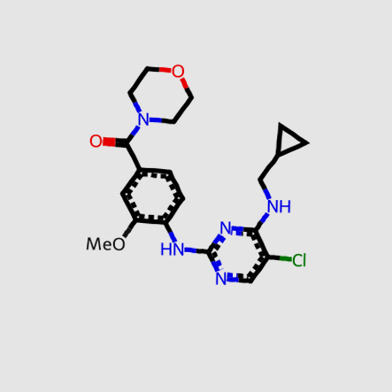 COc1cc(C(=O)N2CCOCC2)ccc1Nc1ncc(Cl)c(NCC2CC2)n1